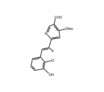 COc1cc(C(F)=Cc2cccc(O)c2Cl)ncc1C=O